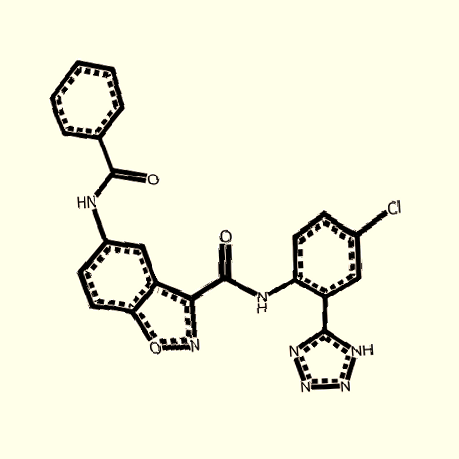 O=C(Nc1ccc2onc(C(=O)Nc3ccc(Cl)cc3-c3nnn[nH]3)c2c1)c1ccccc1